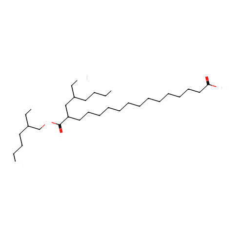 CCCCC(CC)COC(=O)C(CCCCCCCCCCCCCC(=O)O)CC(CC)CCCC